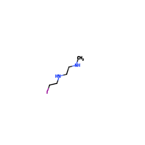 CNCCNCCI